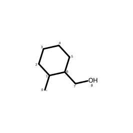 [CH2]C1CCCCC1CO